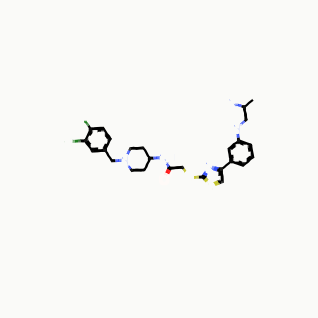 CC(N)CNc1cccc(-c2csc(SCC(=O)NC3CCN(Cc4ccc(Cl)c(Cl)c4)CC3)n2)c1.Cl.Cl